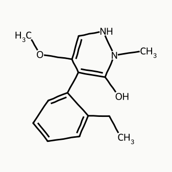 CCc1ccccc1C1=C(O)N(C)NC=C1OC